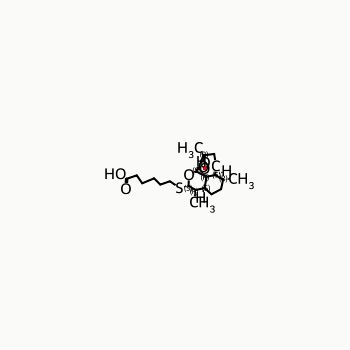 C[C@H]1[C@H](SCCCCCC(=O)O)O[C@@H]2O[C@@]3(C)CC[C@H]4[C@H](C)CC[C@@H]1[C@@]24OO3